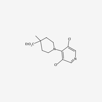 CCOC(=O)C1(C)CCN(c2c(Cl)cncc2Cl)CC1